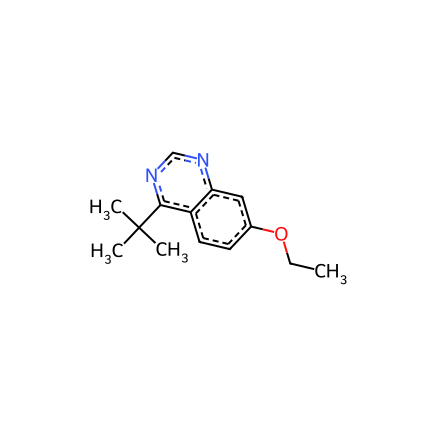 CCOc1ccc2c(C(C)(C)C)ncnc2c1